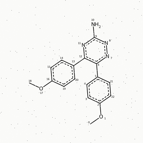 COc1ccc(-c2nnc(N)nc2-c2ccc(OC)cc2)cc1